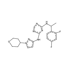 CC(Nc1ncnc(Nc2ccn(C3CCOCC3)n2)n1)c1ccc(F)cc1F